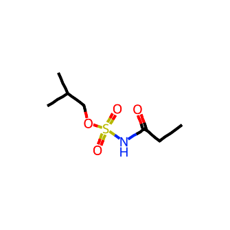 CCC(=O)NS(=O)(=O)OCC(C)C